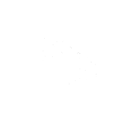 C=C(/C=C(/O)c1ccc(NC(=O)Nc2ccc3c(O)cc(S(=O)(=O)O)cc3c2)cc1C)S(=O)(=O)O